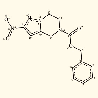 O=C(OCc1ccccc1)N1CCn2nc([N+](=O)[O-])cc2C1